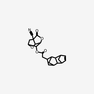 N#CC12CC3OC1C(OC2=O)C3OC(=O)CC1CC2CC1C1C3C=CC(C3)C21